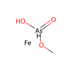 CO[AsH](=O)O.[Fe]